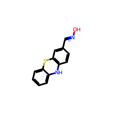 O/N=C/c1ccc2c(c1)Sc1ccccc1N2